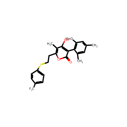 COc1cc(C)cc(C)c1-c1c(O)c(C)c(CCSc2ccc(C(F)(F)F)cc2)oc1=O